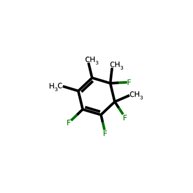 CC1=C(C)C(C)(F)C(C)(F)C(F)=C1F